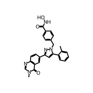 Cc1ccccc1-c1cc(-c2ccc3ncn(C)c(=O)c3c2)nn1Cc1ccc(C(=O)NO)cc1